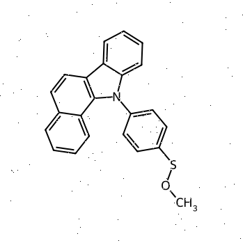 COSc1ccc(-n2c3ccccc3c3ccc4ccccc4c32)cc1